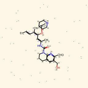 CC/C=C/C(C#N)=C(\C=C(/C)NC(=O)N1CCCc2cc(CO)c(C=O)nc21)OC1CN2CCC1CC2